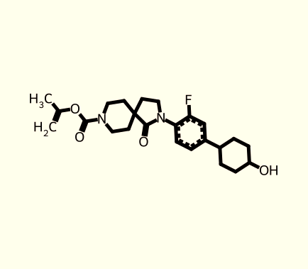 C=C(C)OC(=O)N1CCC2(CC1)CCN(c1ccc(C3CCC(O)CC3)cc1F)C2=O